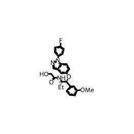 CC[C@H](NC(=O)CO)[C@@H](Oc1ccc2c(cnn2-c2ccc(F)cc2)c1)c1cccc(OC)c1